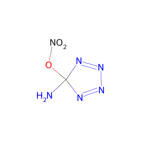 NC1(O[N+](=O)[O-])N=NN=N1